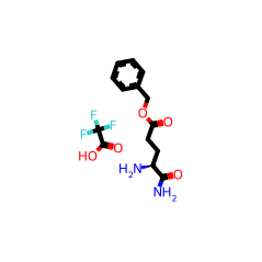 NC(=O)[C@@H](N)CCC(=O)OCc1ccccc1.O=C(O)C(F)(F)F